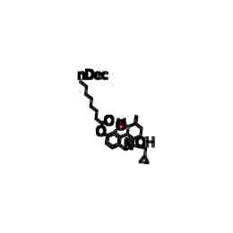 C=C1CC[C@@]2(O)C3Cc4ccc(OC(=O)CCCCCCCCCCCCCCCCC)c5c4[C@@]2(CCN3CC2CC2)[C@H]1O5